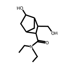 CCN(CC)C(=O)C1C2CC(O)C(C2)C1CO